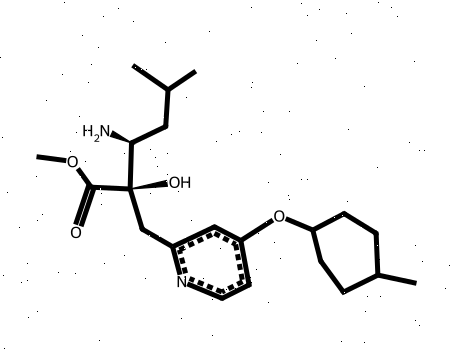 COC(=O)[C@@](O)(Cc1cc(OC2CCC(C)CC2)ccn1)[C@@H](N)CC(C)C